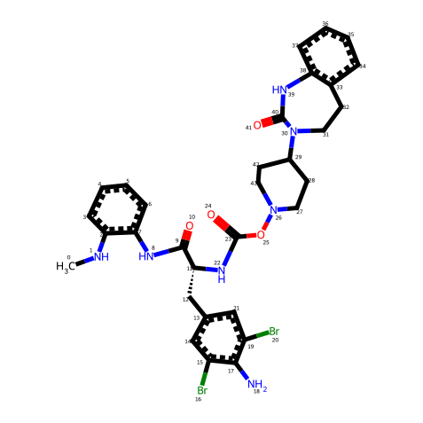 CNc1ccccc1NC(=O)[C@@H](Cc1cc(Br)c(N)c(Br)c1)NC(=O)ON1CCC(N2CCc3ccccc3NC2=O)CC1